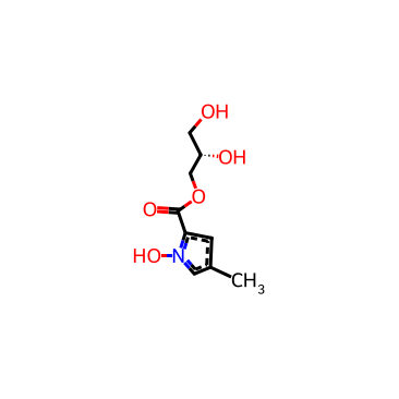 Cc1cc(C(=O)OC[C@@H](O)CO)n(O)c1